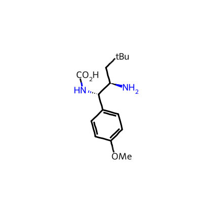 COc1ccc([C@H](NC(=O)O)[C@H](N)CC(C)(C)C)cc1